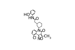 Cc1onc2c1c(=O)n(C1CCCC(CC(=O)Nc3ccccc3O)C1)c1cccc(Cl)c21